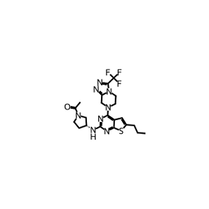 CCCc1cc2c(N3CCn4c(nnc4C(F)(F)F)C3)nc(N[C@@H]3CCN(C(C)=O)C3)nc2s1